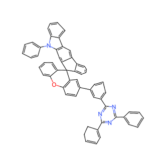 C1=CCCC(c2nc(-c3ccccc3)nc(-c3cccc(-c4ccc5c(c4)C4(c6ccccc6O5)c5ccccc5-c5cc6c7ccccc7n(-c7ccccc7)c6cc54)c3)n2)=C1